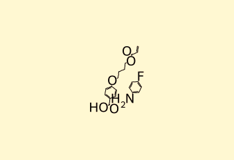 C=CC(=O)OCCCCOc1ccc(C(=O)O)cc1.Nc1ccc(F)cc1